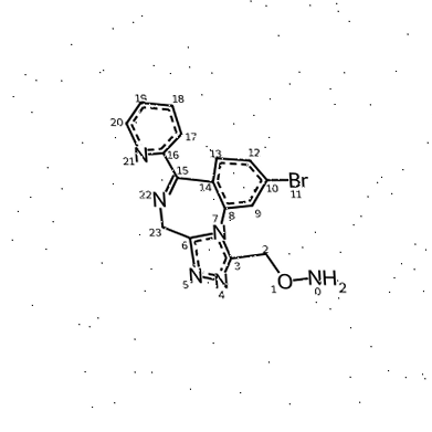 NOCc1nnc2n1-c1cc(Br)ccc1C(c1ccccn1)=NC2